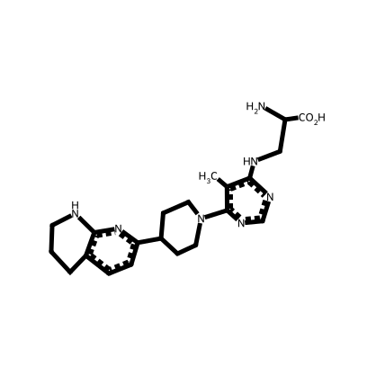 Cc1c(NCC(N)C(=O)O)ncnc1N1CCC(c2ccc3c(n2)NCCC3)CC1